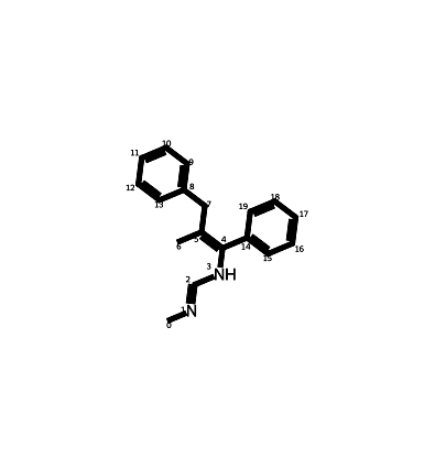 C/N=C/N/C(=C(\C)Cc1ccccc1)c1ccccc1